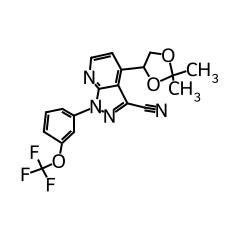 CC1(C)OCC(c2ccnc3c2c(C#N)nn3-c2cccc(OC(F)(F)F)c2)O1